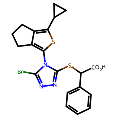 O=C(O)C(Sc1nnc(Br)n1-c1sc(C2CC2)c2c1CCC2)c1ccccc1